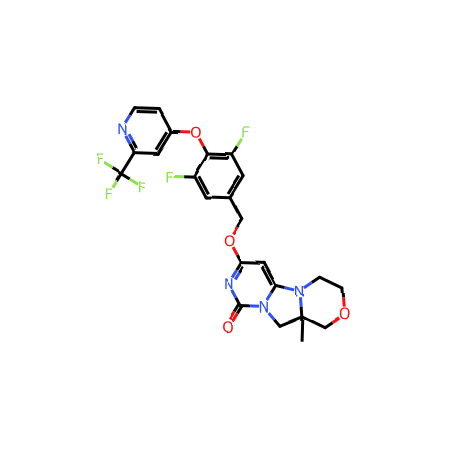 CC12COCCN1c1cc(OCc3cc(F)c(Oc4ccnc(C(F)(F)F)c4)c(F)c3)nc(=O)n1C2